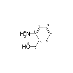 NC1=CC=CCC1CO